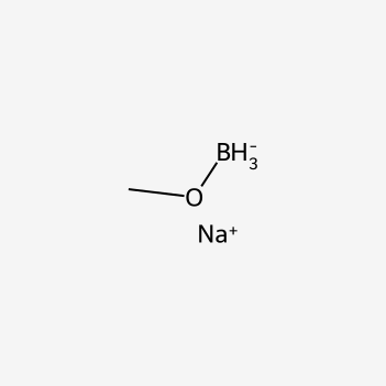 [BH3-]OC.[Na+]